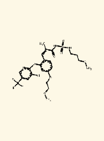 COCCCNS(=O)(=O)NC(=O)C(C)=Cc1ccc(OCCOC)cc1Oc1ncc(C(F)(F)F)cc1Cl